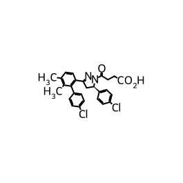 Cc1ccc(C2=NN(C(=O)CCC(=O)O)[C@@H](c3ccc(Cl)cc3)C2)c(-c2ccc(Cl)cc2)c1C